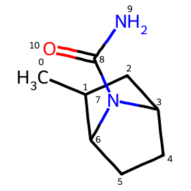 CC1CC2CCC1N2C(N)=O